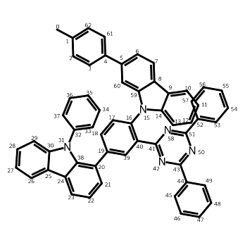 Cc1ccc(-c2ccc3c4ccccc4n(-c4ccc(-c5cccc6c7ccccc7n(-c7ccccc7)c56)cc4-c4nc(-c5ccccc5)nc(-c5ccccc5)n4)c3c2)cc1